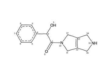 O=C(C(O)c1ccccc1)N1CC2=C(CNC2)C1